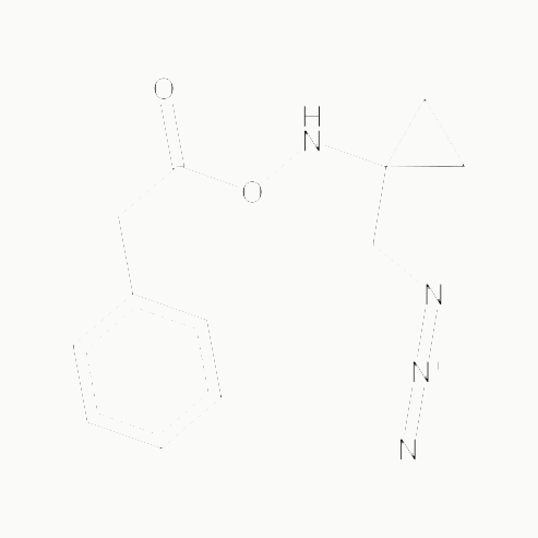 [N-]=[N+]=NCC1(NOC(=O)Cc2ccccc2)CC1